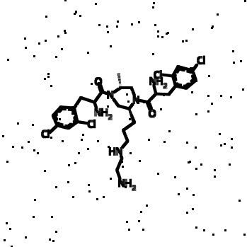 C[C@@H]1CN(C(=O)C(N)Cc2ccc(Cl)cc2Cl)[C@@H](CCCNCCN)CN1C(=O)C(N)Cc1ccc(Cl)cc1Cl